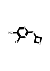 N#Cc1cnc(OC2COC2)nc1Cl